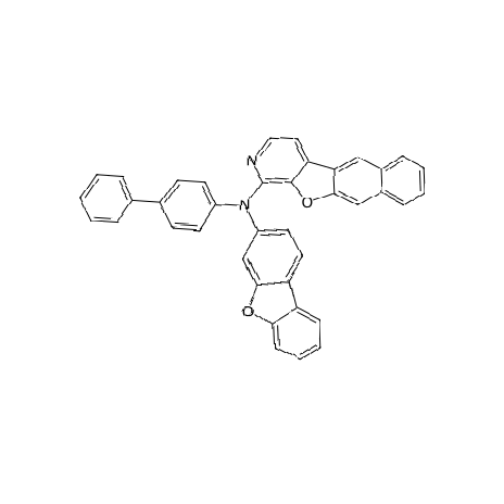 c1ccc(-c2ccc(N(c3ccc4c(c3)oc3ccccc34)c3nccc4c3oc3cc5ccccc5cc34)cc2)cc1